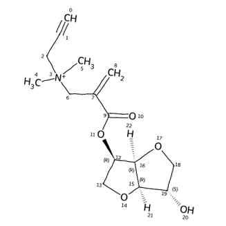 C#CC[N+](C)(C)CC(=C)C(=O)O[C@@H]1CO[C@H]2[C@@H]1OC[C@@H]2O